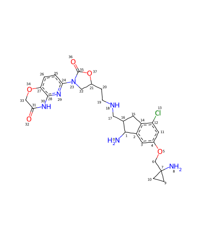 NC1c2cc(OCC3(N)CC3)cc(Cl)c2CC1CNCCC1CN(c2ccc3c(n2)NC(=O)CO3)C(=O)O1